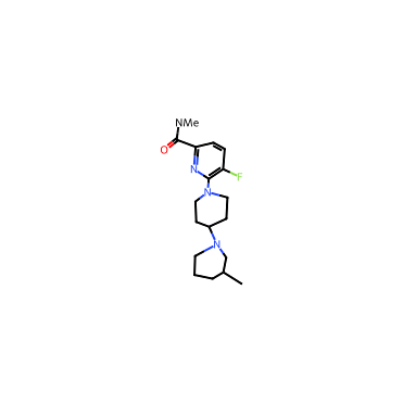 CNC(=O)c1ccc(F)c(N2CCC(N3CCCC(C)C3)CC2)n1